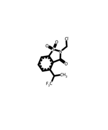 CC(c1cccc2c1C(=O)N(CCl)S2(=O)=O)C(F)(F)F